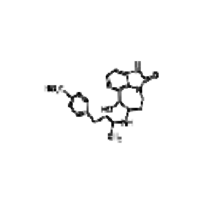 CC(CCc1ccc(C(=O)O)cc1)NC1CCn2c(=O)[nH]c3cccc(c32)C1O